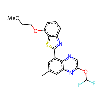 COCCOc1cccc2nc(-c3cc(C)cc4nc(OC(F)F)cnc34)sc12